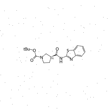 CC(C)(C)OC(=O)N1CC[C@H](C(=O)Nc2nc3ccccc3s2)C1